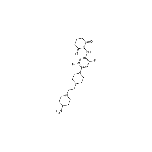 NC1CCN(CCC2CCN(c3cc(F)c(NN4C(=O)CCCC4=O)cc3F)CC2)CC1